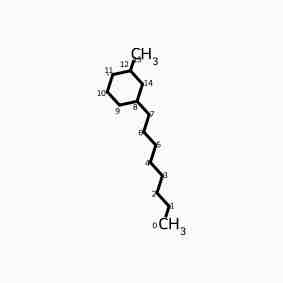 CCCCCCCCC1CC[CH]C(C)C1